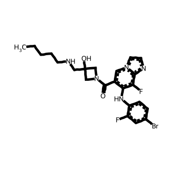 CCCCCNCC1(O)CN(C(=O)c2cn3ccnc3c(F)c2Nc2ccc(Br)cc2F)C1